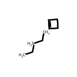 C1=CCC1.CC[SiH2]CC